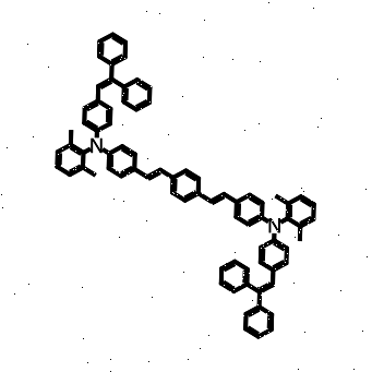 Cc1cccc(C)c1N(c1ccc(C=C(c2ccccc2)c2ccccc2)cc1)c1ccc(/C=C/c2ccc(/C=C/c3ccc(N(c4ccc(C=C(c5ccccc5)c5ccccc5)cc4)c4c(C)cccc4C)cc3)cc2)cc1